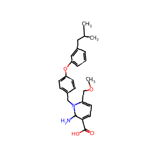 COCC1=CC=C(C(=O)O)C(N)N1Cc1ccc(Oc2cccc(CC(C)C)c2)cc1